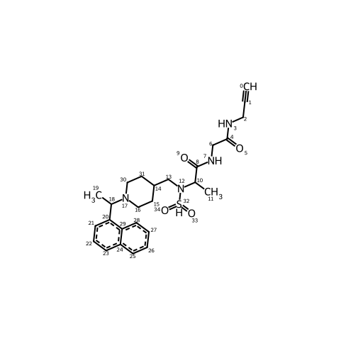 C#CCNC(=O)CNC(=O)C(C)N(CC1CCN(C(C)c2cccc3ccccc23)CC1)[SH](=O)=O